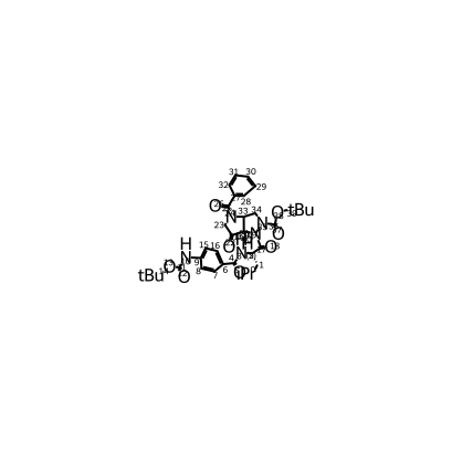 CC(C)C[C@H](NC(=O)c1ccc(NC(=O)OC(C)(C)C)cc1)C(=O)N1[C@@H]2C(=O)CN(C(=O)c3ccccc3)C2CN1C(=O)OC(C)(C)C